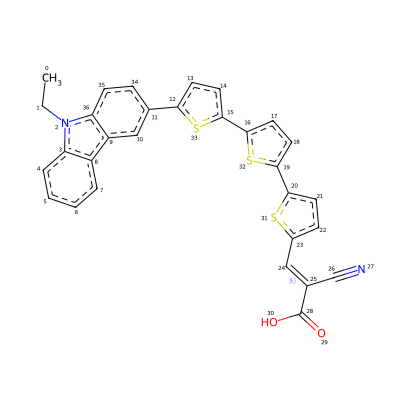 CCn1c2ccccc2c2cc(-c3ccc(-c4ccc(-c5ccc(/C=C(\C#N)C(=O)O)s5)s4)s3)ccc21